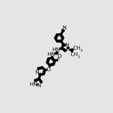 CC(C)n1cc(NC(=O)Nc2ccc(Oc3ccnc(-c4cn[nH]c4)c3)cc2F)c(-c2cccc(C#N)c2)n1